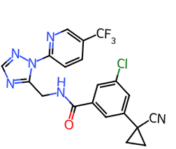 N#CC1(c2cc(Cl)cc(C(=O)NCc3ncnn3-c3ccc(C(F)(F)F)cn3)c2)CC1